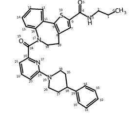 CCCNC(=O)c1cc2c(s1)-c1ccccc1N(C(=O)c1cccc(N3CCC(c4ccccc4)CC3)n1)CC2